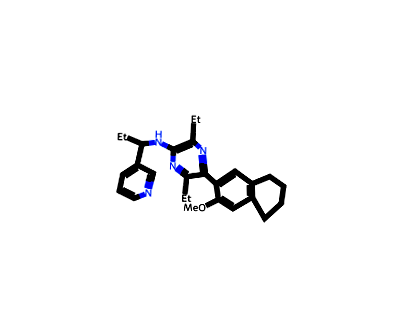 CCc1nc(-c2cc3c(cc2OC)CCCC3)c(CC)nc1NC(CC)c1cccnc1